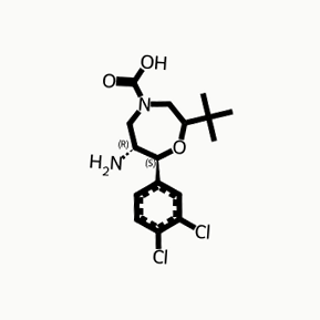 CC(C)(C)C1CN(C(=O)O)C[C@@H](N)[C@H](c2ccc(Cl)c(Cl)c2)O1